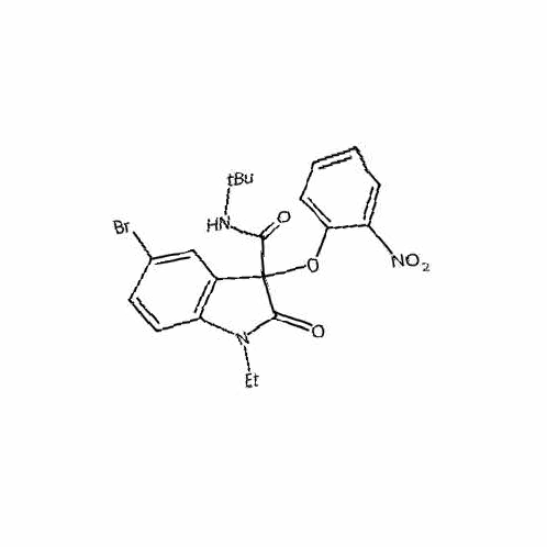 CCN1C(=O)C(Oc2ccccc2[N+](=O)[O-])(C(=O)NC(C)(C)C)c2cc(Br)ccc21